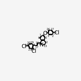 Clc1ccc(Oc2ccc3c(c2)CCN=C3C=Cc2ccc(Cl)cc2Cl)cc1